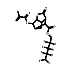 C=C(C)C(=O)OC1C2CC3C1OC(=O)C3C2C(=O)OCC(F)(F)C(F)(F)C(F)(F)C(F)F